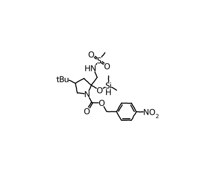 C[SiH](C)OC1(CNS(C)(=O)=O)CC(C(C)(C)C)CN1C(=O)OCc1ccc([N+](=O)[O-])cc1